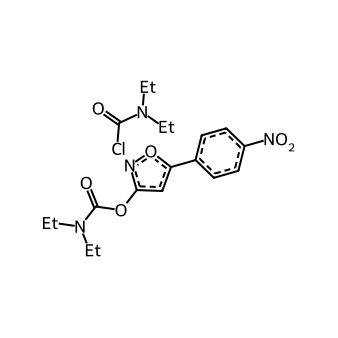 CCN(CC)C(=O)Cl.CCN(CC)C(=O)Oc1cc(-c2ccc([N+](=O)[O-])cc2)on1